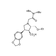 CCCCN(CCCC)C(=O)CN1C[C@H](c2ccc3c(c2)OCO3)[C@H](C(=O)O)[C@H]1COCC